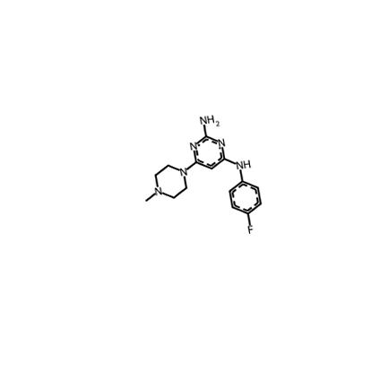 CN1CCN(c2cc(Nc3ccc(F)cc3)nc(N)n2)CC1